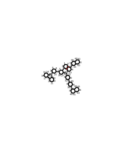 c1ccc(-c2cc(-c3cccc(-n4c5ccccc5c5ccccc54)c3)ccc2N(c2ccc(-c3ccc(-c4cccc5ccccc45)cc3)cc2)c2ccc(-c3ccc4ccccc4c3)cc2)cc1